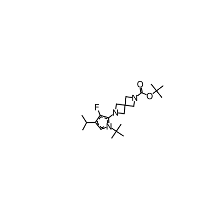 CC(C)c1cn(C(C)(C)C)c(N2CC3(CN(C(=O)OC(C)(C)C)C3)C2)c1F